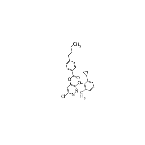 CCCCc1ccc(C(=O)Oc2cc(Cl)nnc2Oc2c(C)cccc2C2CC2)cc1